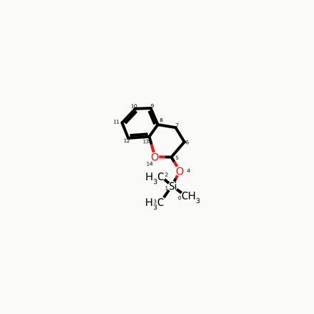 C[Si](C)(C)OC1CCc2ccccc2O1